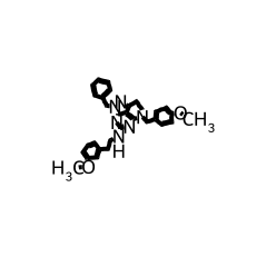 COc1ccc(CN2CCc3nn(Cc4ccccc4)c4nc(NCCc5cccc(OC)c5)nc2c34)cc1